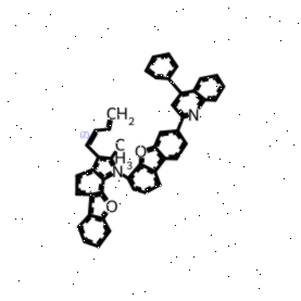 C=C/C=C\c1c(C)n(-c2cccc3c2oc2cc(-c4cc(-c5ccccc5)c5ccccc5n4)ccc23)c2c1ccc1c3ccccc3oc12